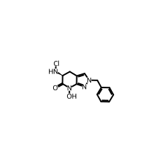 O=C1[C@@H](NCl)Cc2cn(Cc3ccccc3)nc2N1O